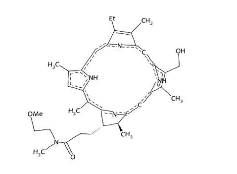 CCC1=C(C)c2cc3[nH]c(cc4nc(c(C)c5cc(C)c(cc1n2)[nH]5)[C@@H](CCC(=O)N(C)CCOC)[C@@H]4C)c(C)c3CO